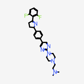 CN(C)CCN1CCN(c2ncc(-c3ccc(C4CCC(c5c(F)cccc5F)=N4)cc3)cn2)CC1